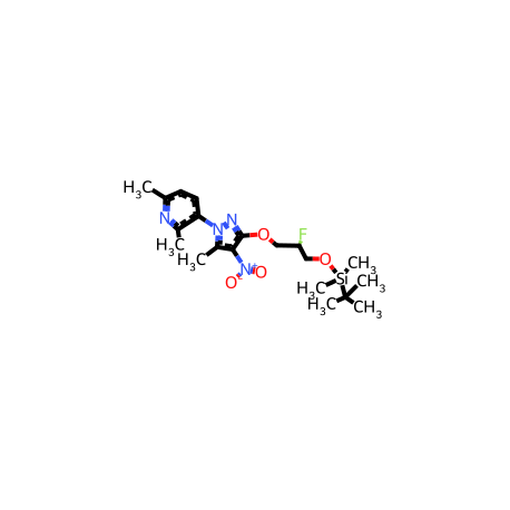 Cc1ccc(-n2nc(OC[C@@H](F)CO[Si](C)(C)C(C)(C)C)c([N+](=O)[O-])c2C)c(C)n1